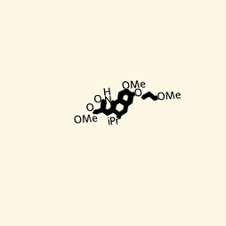 COCCCOc1cc2c(cc1OC)-c1[nH]c(=O)c(C(=O)OC)cc1C(C(C)C)C2